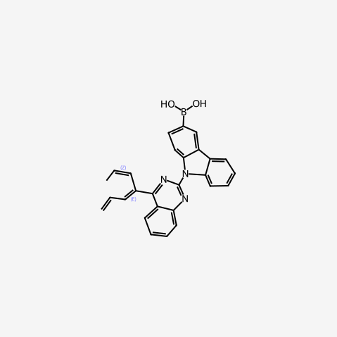 C=C/C=C(\C=C/C)c1nc(-n2c3ccccc3c3cc(B(O)O)ccc32)nc2ccccc12